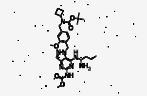 CCCC(N)Nc1nc(NC(=O)OC)nc2cnn(Cc3ccc(CN(C(=O)OC(C)(C)C)C4CCC4)cc3OC)c12